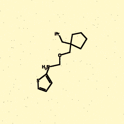 CC(C)CC1(COC[SiH2]c2cccs2)CCCC1